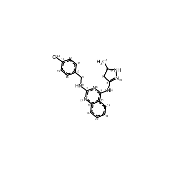 CC1CC(Nc2nc(NCc3ccc(Cl)cc3)nc3ccccc23)=NN1